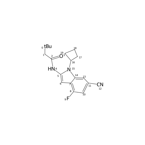 CC(C)(C)CC(=O)Nc1cc2c(F)cc(C#N)cc2n1C1CCC1